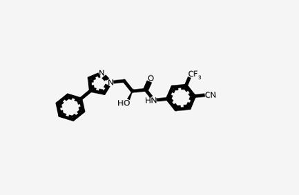 N#Cc1ccc(NC(=O)[C@@H](O)Cn2cc(-c3ccccc3)cn2)cc1C(F)(F)F